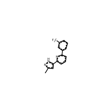 Cc1cc(-c2cccc(-c3cccc(C(F)(F)F)c3)n2)[nH]n1